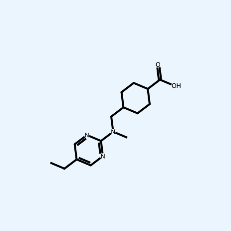 CCc1cnc(N(C)CC2CCC(C(=O)O)CC2)nc1